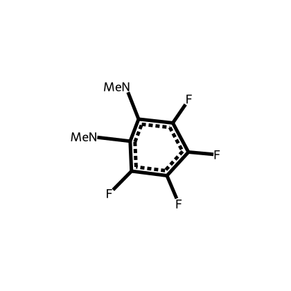 CNc1c(F)c(F)c(F)c(F)c1NC